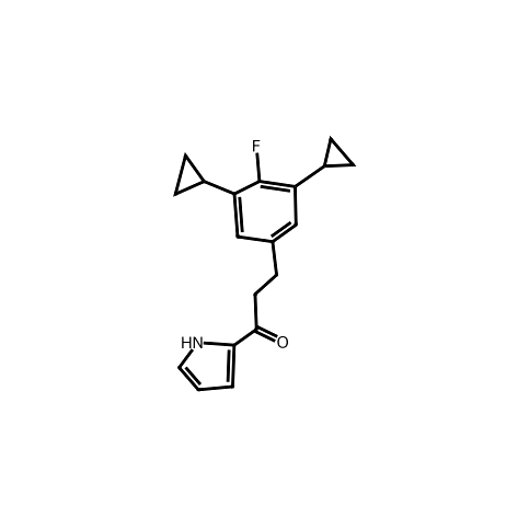 O=C(CCc1cc(C2CC2)c(F)c(C2CC2)c1)c1ccc[nH]1